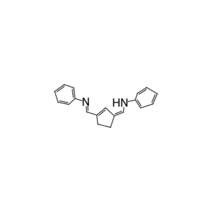 C(=Nc1ccccc1)C1=C/C(=C\Nc2ccccc2)CC1